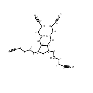 N#CCCOCC1CC(COCCC#N)C(COCCC#N)C1COCCC#N